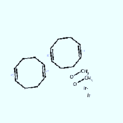 C1=C\CC/C=C\CC/1.C1=C\CC/C=C\CC/1.C[O-].C[O-].[Ir].[Ir]